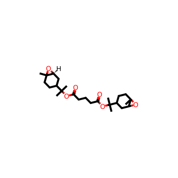 CC(C)(OC(=O)CCCC(=O)OC(C)(C)C1CCC2(C)O[C@H]2C1)C1CCC2(C)OC2C1